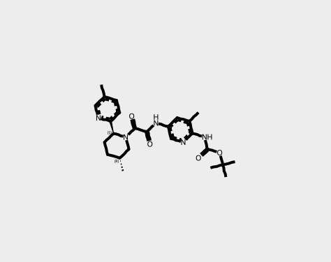 Cc1ccc([C@@H]2CC[C@@H](C)CN2C(=O)C(=O)Nc2cnc(NC(=O)OC(C)(C)C)c(C)c2)nc1